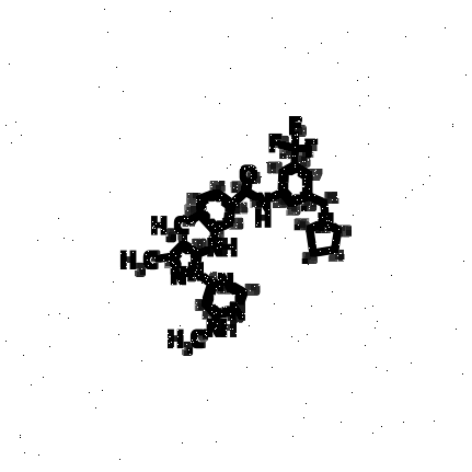 CNc1cc(-n2nc(C)cc2Nc2cc(C(=O)Nc3cc(CN4CCCC4)cc(C(F)(F)F)c3)ccc2C)ncn1